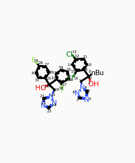 CCCCC(O)(Cn1cncn1)c1ccc(Cl)cc1Cl.OC(Cn1cncn1)(c1ccc(F)cc1)c1ccccc1F